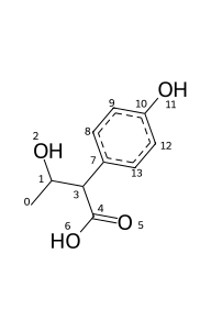 CC(O)C(C(=O)O)c1ccc(O)cc1